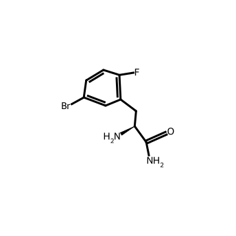 NC(=O)[C@@H](N)Cc1cc(Br)ccc1F